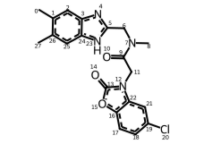 Cc1cc2nc(CN(C)C(=O)Cn3c(=O)oc4ccc(Cl)cc43)[nH]c2cc1C